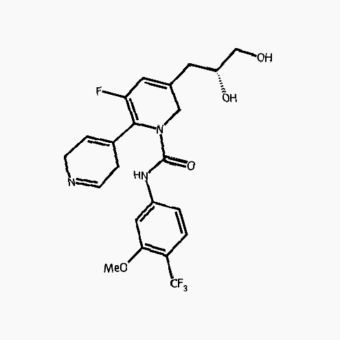 COc1cc(NC(=O)N2CC(C[C@@H](O)CO)=CC(F)=C2C2=CCN=CC2)ccc1C(F)(F)F